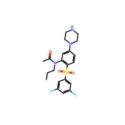 CCCN(C(C)=O)c1cc(N2CCNCC2)ccc1S(=O)(=O)c1cc(F)cc(F)c1